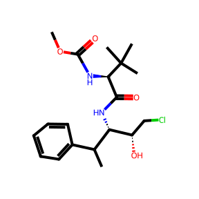 COC(=O)N[C@H](C(=O)N[C@@H](C(C)c1ccccc1)[C@@H](O)CCl)C(C)(C)C